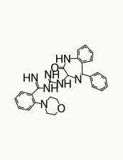 N=C(NC(=N)c1ccccc1N1CCOCC1)NC1N=C(c2ccccc2)c2ccccc2NC1=O